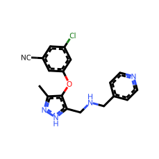 Cc1n[nH]c(CNCc2ccncc2)c1Oc1cc(Cl)cc(C#N)c1